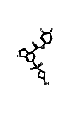 O=C(Nc1ccc(F)c(F)c1)c1cc(S(=O)(=O)N2CC(O)C2)cc2[nH]ccc12